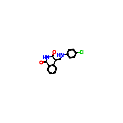 O=C1NC(=O)c2ccccc2C1=CNc1ccc(Cl)cc1